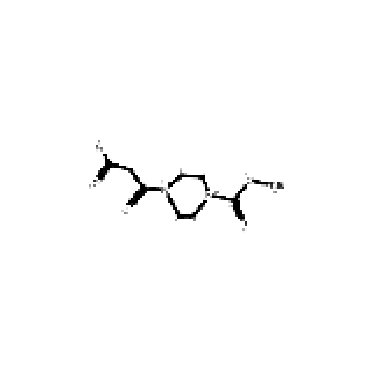 CC(C)C(=O)CC(=O)N1CCN(C(=O)OC(C)(C)C)CC1